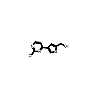 OCc1cc(-c2ccnc(Cl)n2)co1